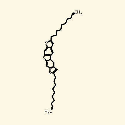 C=CCCCCCCCCc1cc2c(s1)C=C1Sc3cc4sc(CCCCCCCCC=C)cc4cc3C1C2